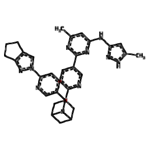 Cc1cc(Nc2cc(C)[nH]n2)nc(-c2ccc(N3CC4CC(C3)N4Cc3ccc(-n4cc5c(n4)CCC5)nc3)nc2)n1